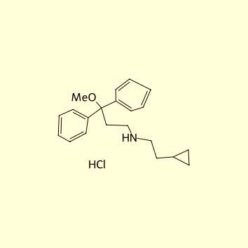 COC(CCNCCC1CC1)(c1ccccc1)c1ccccc1.Cl